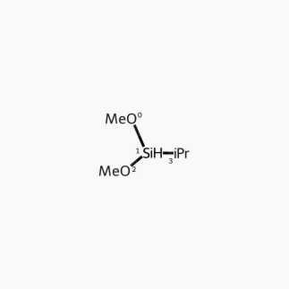 CO[SiH](OC)C(C)C